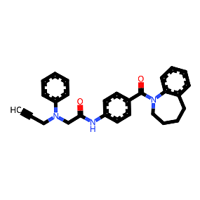 C#CCN(CC(=O)Nc1ccc(C(=O)N2CCCCc3ccccc32)cc1)c1ccccc1